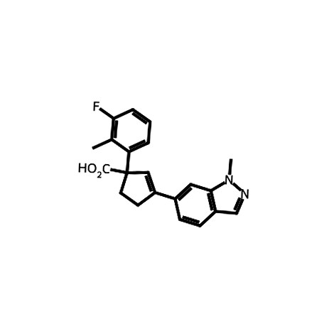 Cc1c(F)cccc1C1(C(=O)O)C=C(c2ccc3cnn(C)c3c2)CC1